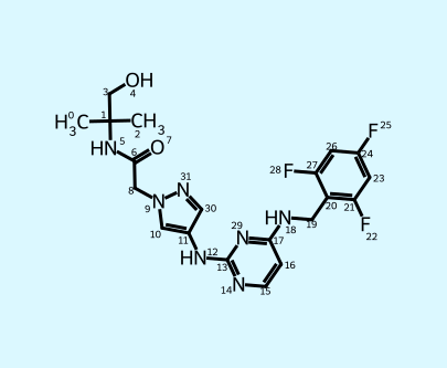 CC(C)(CO)NC(=O)Cn1cc(Nc2nccc(NCc3c(F)cc(F)cc3F)n2)cn1